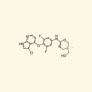 C[C@]1(CO)CN=C(Nc2cc(F)c(Oc3ccnc4[nH]cc(Cl)c34)c(F)c2)OC1